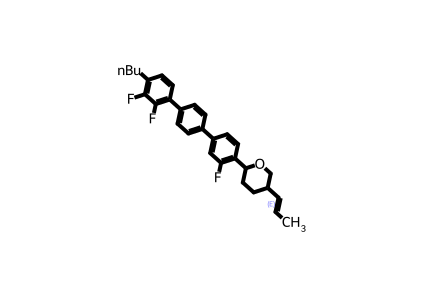 C/C=C/C1CCC(c2ccc(-c3ccc(-c4ccc(CCCC)c(F)c4F)cc3)cc2F)OC1